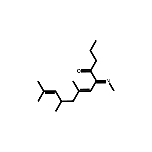 CCCC(=O)C(/C=C(\C)CC(C)C=C(C)C)=N/C